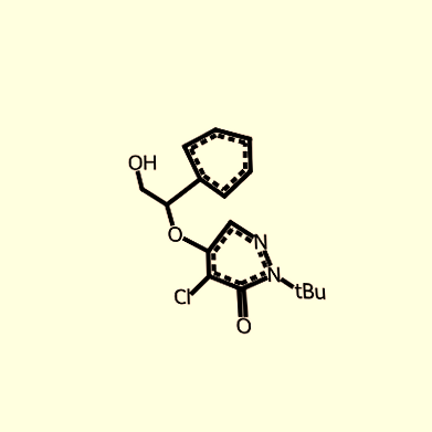 CC(C)(C)n1ncc(OC(CO)c2ccccc2)c(Cl)c1=O